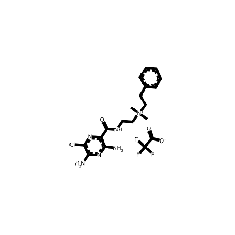 C[N+](C)(CCNC(=O)c1nc(Cl)c(N)nc1N)CCc1ccccc1.O=C([O-])C(F)(F)F